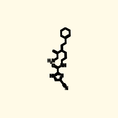 C=C(CN)C(/C=C\CNC(=O)c1nc(C#N)c[nH]1)=C/CC1=CCCCC1